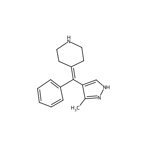 Cc1n[nH]cc1C(=C1CCNCC1)c1ccccc1